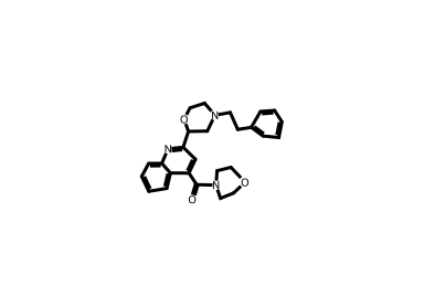 O=C(c1cc(C2CN(CCc3ccccc3)CCO2)nc2ccccc12)N1CCOCC1